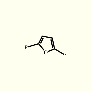 [CH2]c1ccc(F)o1